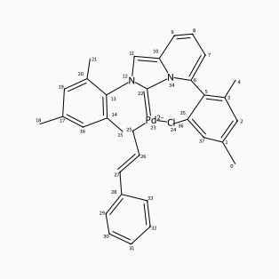 Cc1cc(C)c(-c2cccc3cn(-c4c(C)cc(C)cc4C)[c](=[Pd-2]([Cl])[CH2]C=Cc4ccccc4)n23)c(C)c1